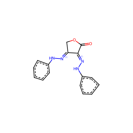 O=C1OCC(=N\Nc2ccccc2)/C1=N\Nc1ccccc1